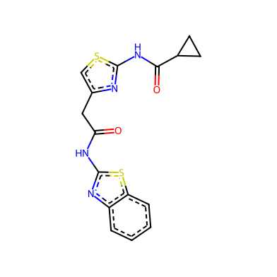 O=C(Cc1csc(NC(=O)C2CC2)n1)Nc1nc2ccccc2s1